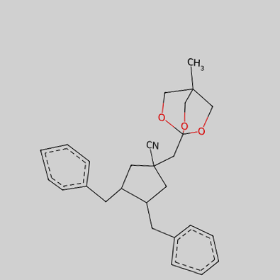 CC12COC(CC3(C#N)CC(Cc4ccccc4)C(Cc4ccccc4)C3)(OC1)OC2